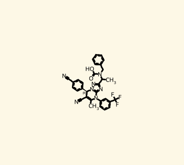 CC1=C(C#N)[C@@H](c2ccc(C#N)cc2)n2nc(C(C)N(Cc3ccccc3)C(=O)O)nc2N1c1cccc(C(F)(F)F)c1